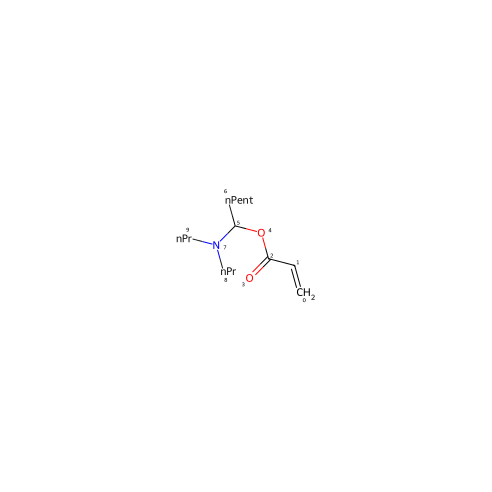 C=CC(=O)OC(CCCCC)N(CCC)CCC